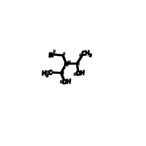 CC(O)N(CBr)C(C)O